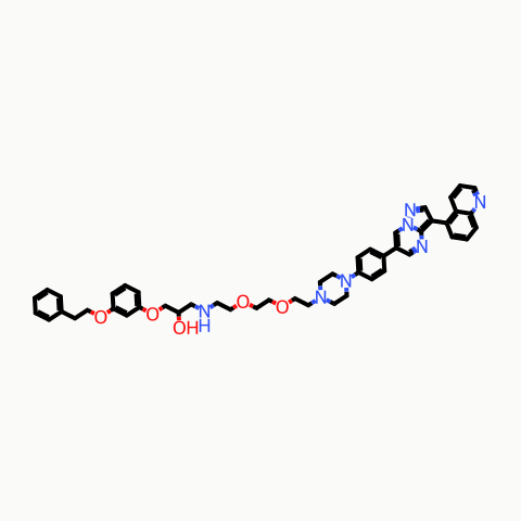 OC(CNCCOCCOCCN1CCN(c2ccc(-c3cnc4c(-c5cccc6ncccc56)cnn4c3)cc2)CC1)COc1cccc(OCCc2ccccc2)c1